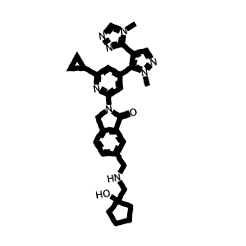 Cn1cnnc1-c1cnn(C)c1-c1cc(C2CC2)nc(N2Cc3ccc(CNCC4(O)CCCC4)cc3C2=O)c1